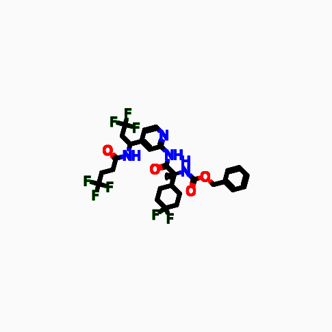 O=C(CCC(F)(F)F)NC(CC(F)(F)F)c1ccnc(NC(=O)[C@@H](NC(=O)OCc2ccccc2)C2CCC(F)(F)CC2)c1